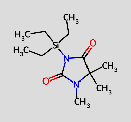 CC[Si](CC)(CC)N1C(=O)N(C)C(C)(C)C1=O